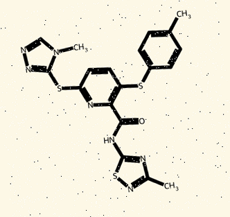 Cc1ccc(Sc2ccc(Sc3nncn3C)nc2C(=O)Nc2nc(C)ns2)cc1